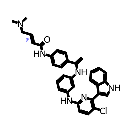 C=C(Nc1cccc(Nc2ccc(Cl)c(-c3c[nH]c4ccccc34)n2)c1)c1ccc(NC(=O)/C=C/CN(C)C)cc1